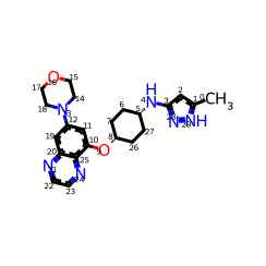 Cc1cc(N[C@H]2CC[C@@H](Oc3cc(N4CCOCC4)cc4nccnc34)CC2)n[nH]1